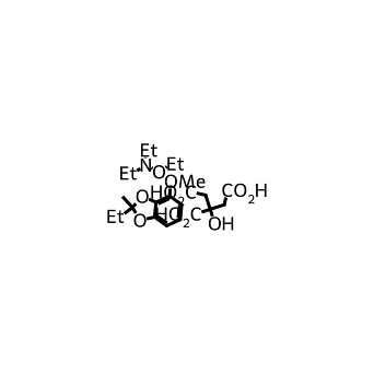 CCC1(C)Oc2cccc(OC)c2O1.CCON(CC)CC.O=C(O)CC(O)(CC(=O)O)C(=O)O